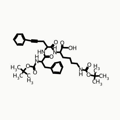 CC(C)(C)OC(=O)NCCCCC(NC(=O)C(CC#Cc1ccccc1)NC(=O)C(Cc1ccccc1)NC(=O)OC(C)(C)C)C(=O)O